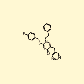 O=c1nc(SCc2ccc(F)cc2)n(CCc2ccccc2)cc1Cc1cncnc1